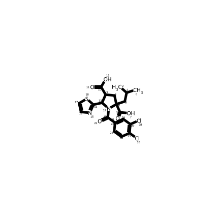 CC(C)CC1(C(=O)O)CC(C(=O)O)C(c2nccs2)N1C(=O)c1ccc(Cl)c(Cl)c1